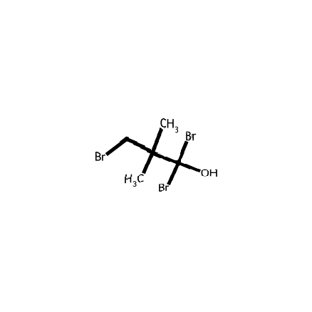 CC(C)(CBr)C(O)(Br)Br